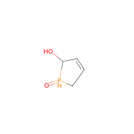 O=[PH]1CC=CC1O